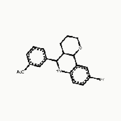 CC(=O)Oc1cccc(C2Nc3ccc(C(C)C)cc3C3OCCCC23)c1